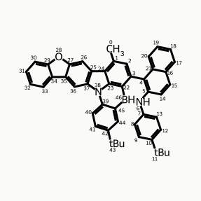 Cc1cc(-c2c(Nc3ccc(C(C)(C)C)cc3)ccc3ccccc23)c2c3c1c1cc4oc5ccccc5c4cc1n3-c1ccc(C(C)(C)C)cc1B2